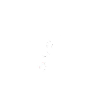 CCOc1ccc(-c2nc(CC(=O)N[C@@H](C)C(=O)O)cs2)cc1